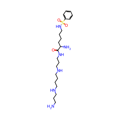 NCCCNCCCCNCCCNC(=O)C(N)CCCCNS(=O)(=O)c1ccccc1